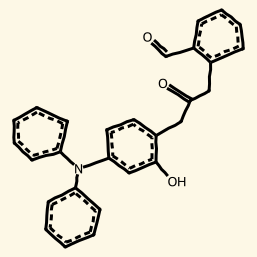 O=Cc1ccccc1CC(=O)Cc1ccc(N(c2ccccc2)c2ccccc2)cc1O